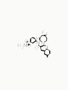 NS(=O)(=O)c1cccc(NC(=O)c2cc3cc(F)ccc3nc2N2CCCC(F)(F)CC2)c1